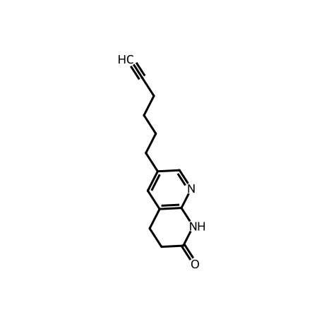 C#CCCCCc1cnc2c(c1)CCC(=O)N2